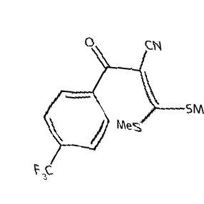 CSC(SC)=C(C#N)C(=O)c1ccc(C(F)(F)F)cc1